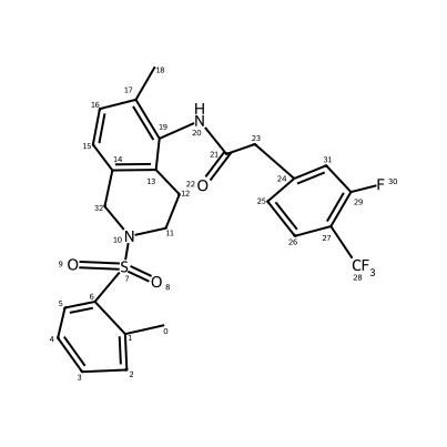 Cc1ccccc1S(=O)(=O)N1CCc2c(ccc(C)c2NC(=O)Cc2ccc(C(F)(F)F)c(F)c2)C1